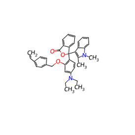 C=Cc1ccc(COc2cc(N(CC)CC)ccc2C2(c3c(C)n(C)c4ccccc34)OC(=O)c3ccccc32)cc1